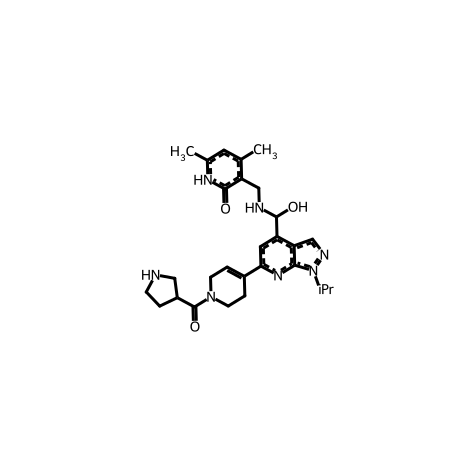 Cc1cc(C)c(CNC(O)c2cc(C3=CCN(C(=O)C4CCNC4)CC3)nc3c2cnn3C(C)C)c(=O)[nH]1